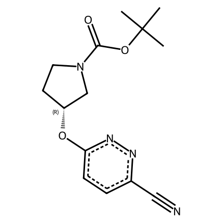 CC(C)(C)OC(=O)N1CC[C@@H](Oc2ccc(C#N)nn2)C1